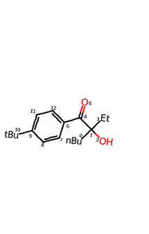 CCCCC(O)(CC)C(=O)c1ccc(C(C)(C)C)cc1